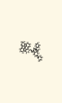 C=N/C(=N\C(=N/CC1CC=CC2=C1c1ccccc1C21c2ccccc2-c2ccccc21)C1=CC=C(c2ccccc2)CC1)C1C=CC=CC1